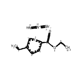 C=Cc1ccc(C(=O)OCC)cc1.N=[N+]=N